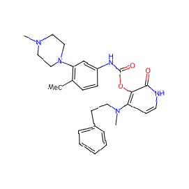 COc1ccc(NC(=O)Oc2c(N(C)CCc3ccccc3)cc[nH]c2=O)cc1N1CCN(C)CC1